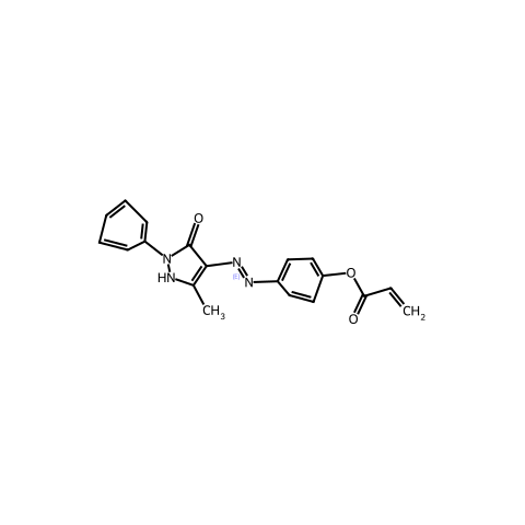 C=CC(=O)Oc1ccc(/N=N/c2c(C)[nH]n(-c3ccccc3)c2=O)cc1